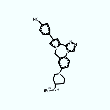 CC[C@H](C)NC1CCN(c2ccc3c(c2)Cn2cc(-c4ccc(C#N)cc4)cc2-c2nncn2-3)CC1